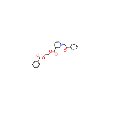 O=C(OCCOC(=O)c1ccccc1)C1=CN(CC(=O)c2ccccc2)C=CC1